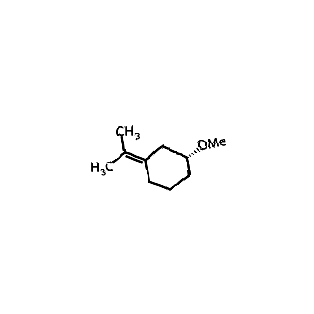 CO[C@@H]1CCCC(=C(C)C)C1